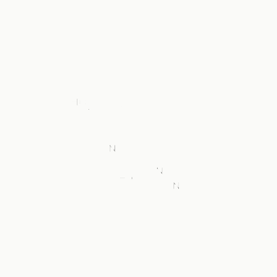 Cn1nccc1-c1cccc(C(=O)O)c1N